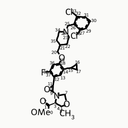 COC(=O)[C@@H]1[C@@H](C)OCN1C1OC1c1cc(C2CC2)c(OCC2CCN(Cc3c(Cl)cccc3Cl)CC2)cc1F